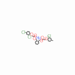 Cc1ccc(OCC(=O)Oc2nnc(OC(=O)COc3ccc(Cl)cc3Cl)c3ccccc23)c(Cl)c1